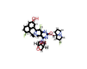 C#Cc1c(F)ccc2cc(O)cc(-c3ncc4c(N5C[C@H]6CO[C@@H](C5)[C@H]6O)nc(OC[C@@]56CCCN5C[C@H](F)C6)nc4c3F)c12